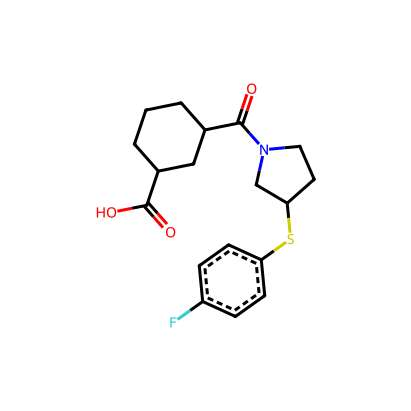 O=C(O)C1CCCC(C(=O)N2CCC(Sc3ccc(F)cc3)C2)C1